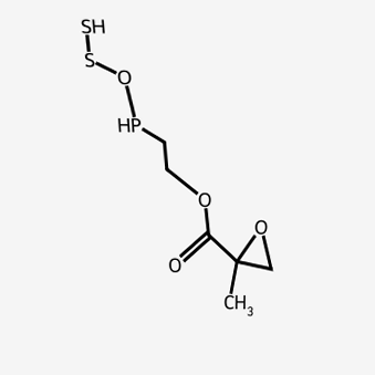 CC1(C(=O)OCCPOSS)CO1